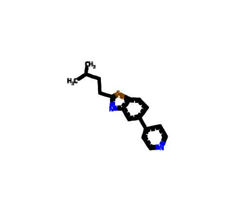 CC(C)CCc1nc2cc(-c3ccncc3)ccc2s1